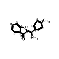 Cc1ccc(C(N)=C2Sc3ccccc3C2=O)cc1